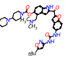 CN(C)Cc1c(OC(=O)N2CCC(N3CCCCC3)CC2)ccc2[nH]c(C(=O)c3cc4cc(NC(=O)Nc5cc(C(C)(C)C)on5)ccc4o3)cc12